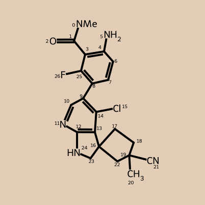 CNC(=O)c1c(N)ccc(-c2cnc3c(c2Cl)C2(CCC(C)(C#N)C2)CN3)c1F